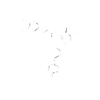 O=C(/C=C/c1ccc(O)c(O)c1)OC1CC2(O)CC(OC(=O)/C=C/c3ccc(O)c(O)c3)C1OC2=O